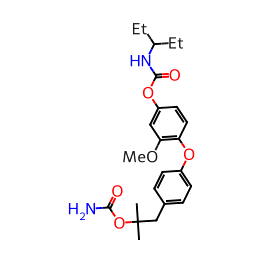 CCC(CC)NC(=O)Oc1ccc(Oc2ccc(CC(C)(C)OC(N)=O)cc2)c(OC)c1